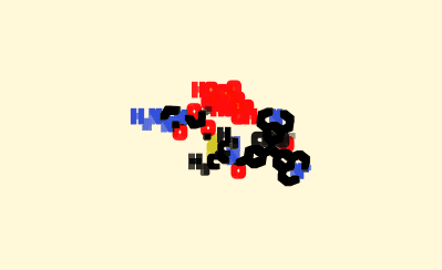 CC(C)(CNC(=O)c1ccc(C2=c3cc4c5c(c3Oc3c2cc2c6c3CCCN6CCC2)CCC[N+]=5CCC4)c(C(=O)[O-])c1)SSCO[C@@H]1C[C@H](n2ccc(N)nc2=O)O[C@@H]1COP(=O)(O)OP(=O)(O)OP(=O)(O)O